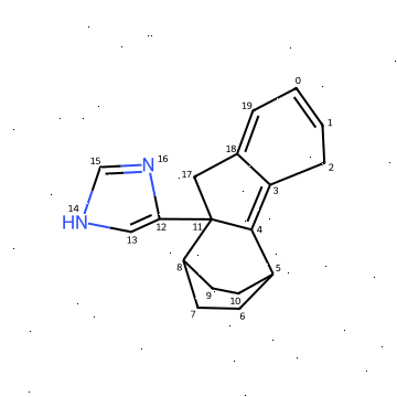 C1=CCC2=C3C4CCC(CC4)C3(c3c[nH]cn3)CC2=C1